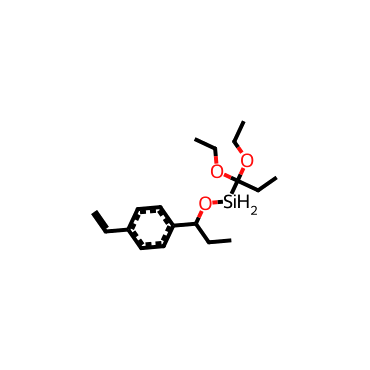 C=Cc1ccc(C(CC)O[SiH2]C(CC)(OCC)OCC)cc1